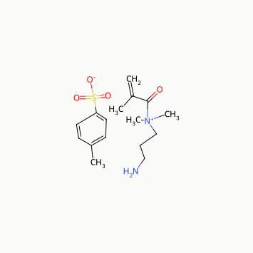 C=C(C)C(=O)[N+](C)(C)CCCN.Cc1ccc(S(=O)(=O)[O-])cc1